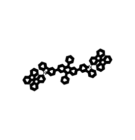 C1=CCCC(c2c3cc(-c4ccc5c(c4)c4ccccc4n5-c4ccc5c(c4)C4(c6ccccc6-c6ccccc64)c4ccccc4-5)ccc3c(-c3ccccc3)c3cc(-c4ccc5c(c4)c4ccccc4n5-c4ccc5c(c4)C4(c6ccccc6-c6ccccc64)c4ccccc4-5)ccc23)=C1